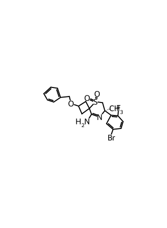 C[C@@]1(c2cc(Br)ccc2F)CS(=O)(=O)C2(CC(OCc3ccccc3)C2)C(N)=N1